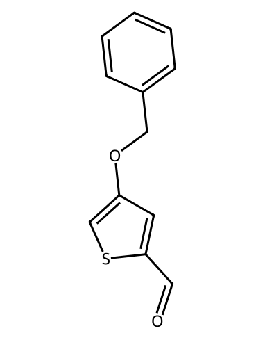 O=Cc1cc(OCc2ccccc2)cs1